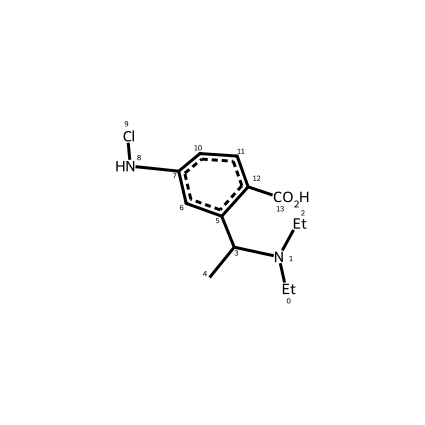 CCN(CC)C(C)c1cc(NCl)ccc1C(=O)O